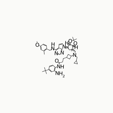 COc1ccc(CNc2ncnc3c2ccn3[C@@H]2C[C@H](CN(CC3CC3)C3CC(CCC(=O)Nc4ccc(C(C)(C)C)cc4N)C3)[C@H]3OC(C)(C)O[C@H]32)c(C)c1